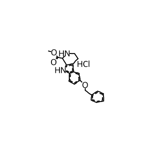 COC(=O)C1NCCc2c1[nH]c1ccc(OCc3ccccc3)cc21.Cl